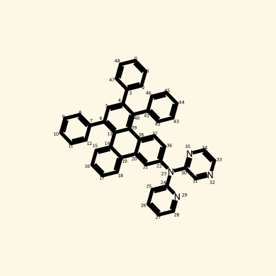 c1ccc(-c2cc(-c3ccccc3)c3c4ccccc4c4cc(N(c5ccccn5)c5cnccn5)ccc4c3c2-c2ccccc2)cc1